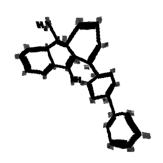 Nc1c2ccccc2c(N)c2c(-c3ccc(-c4ccccc4)cc3)cccc12